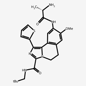 COc1cc2c(cc1NC(=O)[C@H](C)N)-c1c(-c3cccs3)nc(C(=O)NCC(C)(C)C)n1CC2